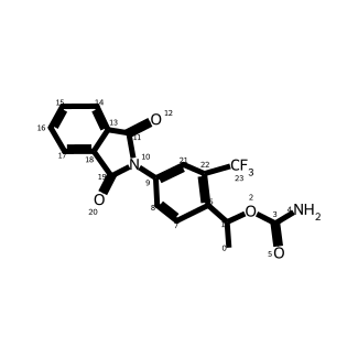 CC(OC(N)=O)c1ccc(N2C(=O)c3ccccc3C2=O)cc1C(F)(F)F